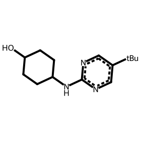 CC(C)(C)c1cnc(NC2CCC(O)CC2)nc1